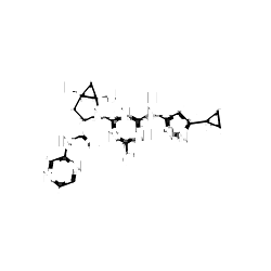 O=C(Nc1cnccn1)[C@@H]1C[C@@H]2C[C@@H]2N1c1nc(Cl)nc(Nc2cc(C3CC3)n[nH]2)n1